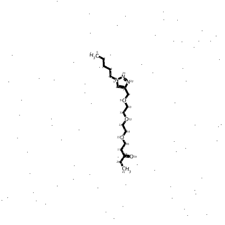 CCCCCn1cc(COCCOCCOCCC(=O)CC)nn1